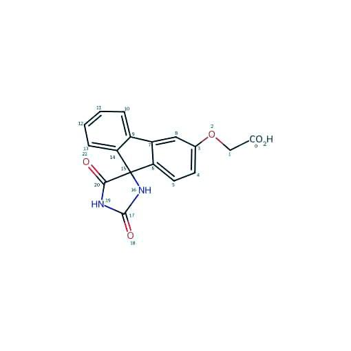 O=C(O)COc1ccc2c(c1)-c1ccccc1C21NC(=O)NC1=O